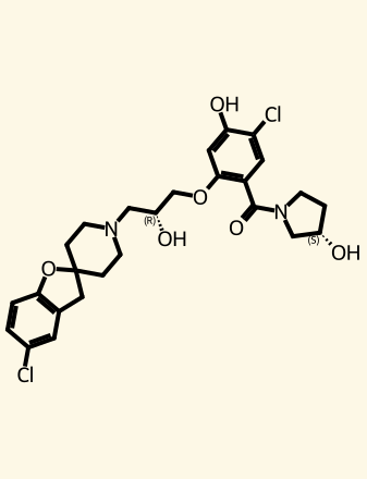 O=C(c1cc(Cl)c(O)cc1OC[C@H](O)CN1CCC2(CC1)Cc1cc(Cl)ccc1O2)N1CC[C@H](O)C1